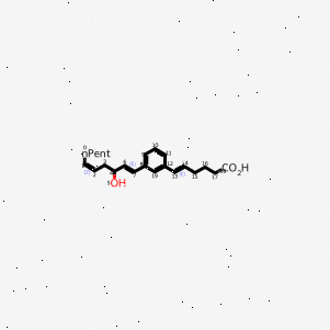 CCCCC/C=C\CC(O)/C=C/c1cccc(/C=C/CCCC(=O)O)c1